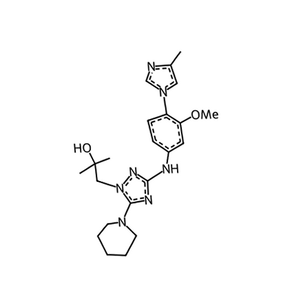 COc1cc(Nc2nc(N3CCCCC3)n(CC(C)(C)O)n2)ccc1-n1cnc(C)c1